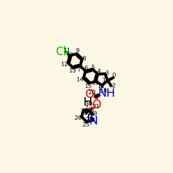 CC1(C)Cc2cc(-c3ccc(Cl)cc3)ccc2C1NC(=O)O[C@H]1CN2CCC1CC2